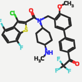 CN[C@H]1CC[C@@H](N(Cc2cc(-c3ccc(C(=O)C(F)(F)F)cc3)ccc2OC)C(=O)c2sc3c(F)ccc(F)c3c2Cl)CC1